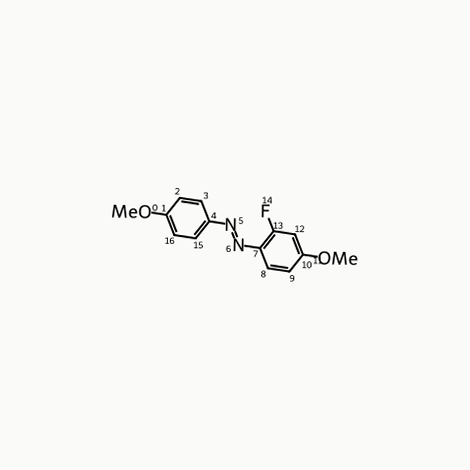 COc1ccc(/N=N/c2ccc(OC)cc2F)cc1